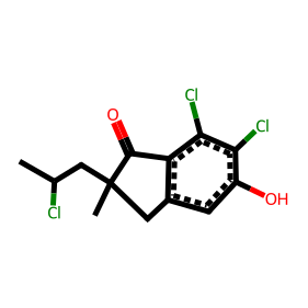 CC(Cl)CC1(C)Cc2cc(O)c(Cl)c(Cl)c2C1=O